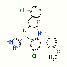 COc1ccc(CN2C(=O)C(Cc3ccccc3Cl)N=C(c3cn[nH]c3)c3cc(Cl)ccc32)cc1